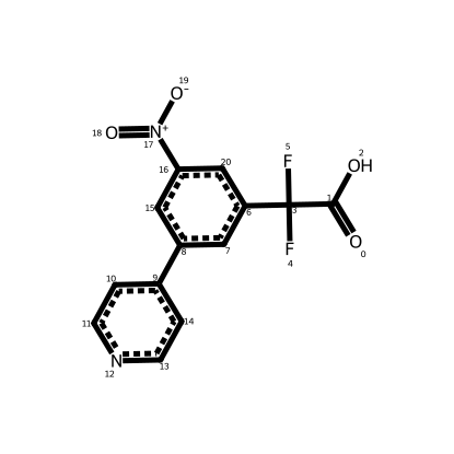 O=C(O)C(F)(F)c1cc(-c2ccncc2)cc([N+](=O)[O-])c1